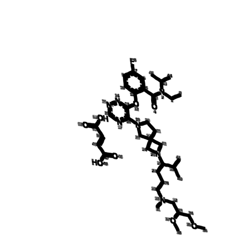 CCN(C(=O)c1cc(F)ccc1Oc1nncnc1N1CCC2(C1)CN(C(CCCN(C)CC(COC)OC)C(C)C)C2)C(C)C.O=C(O)/C=C/C(=O)O